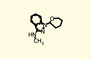 CNc1nn(C2CCCCO2)c2ccccc12